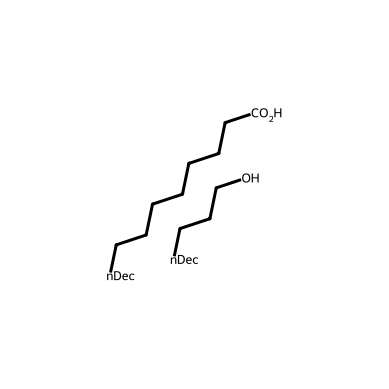 CCCCCCCCCCCCCCCCCC(=O)O.CCCCCCCCCCCCCO